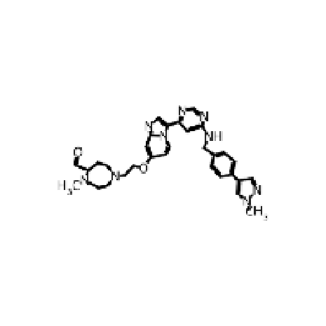 CN1CCN(CCOc2ccn3c(-c4cc(NCc5ccc(-c6cnn(C)c6)cc5)ncn4)cnc3c2)CCC1C=O